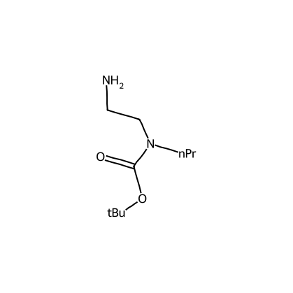 CCCN(CCN)C(=O)OC(C)(C)C